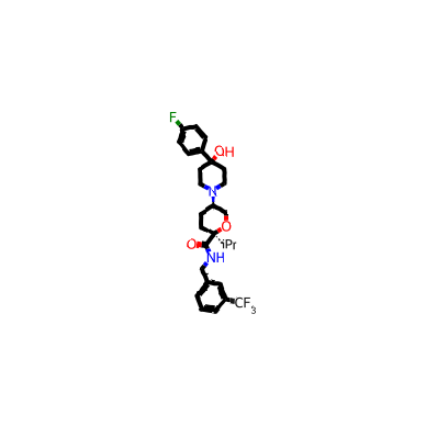 CC(C)[C@]1(C(=O)NCc2cccc(C(F)(F)F)c2)CC[C@@H](N2CCC(O)(c3ccc(F)cc3)CC2)CO1